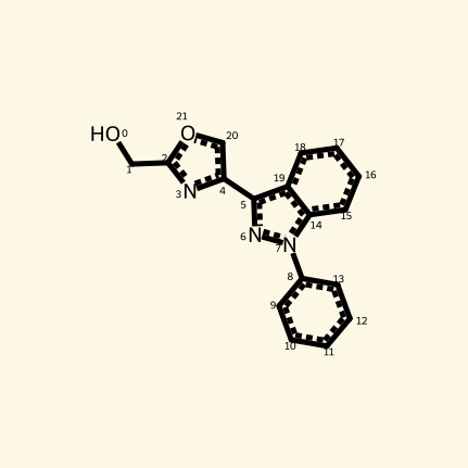 OCc1nc(-c2nn(-c3ccccc3)c3ccccc23)co1